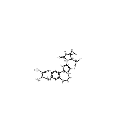 C[C@H](Nc1ccc2c(c1)OCCn1cc(N3C(=O)OC4(CC4)[C@H]3C(F)F)nc1-2)C(N)=O